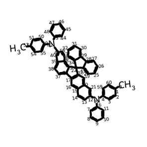 Cc1ccc(N(c2ccccc2)c2ccc3cc4c(cc3c2)C2(c3ccccc3-c3ccccc32)c2c-4ccc3cc(N(c4ccccc4)c4ccc(C)cc4)ccc23)cc1